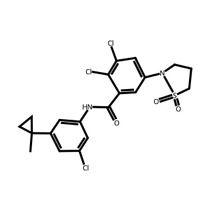 CC1(c2cc(Cl)cc(NC(=O)c3cc(N4CCCS4(=O)=O)cc(Cl)c3Cl)c2)CC1